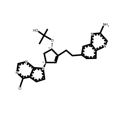 CC(C)(O)O[C@H]1C[C@H](n2ccc3c(Cl)ncnc32)C=C1CCc1ccc2ncc(N)nc2c1